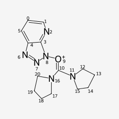 c1cnc2c(c1)nnn2[O+]=C(N1CCCC1)N1CCCC1